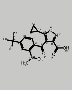 C[S+]([O-])c1cc(C(F)(F)F)ccc1C(=O)c1c(C(=O)O)noc1C1CC1